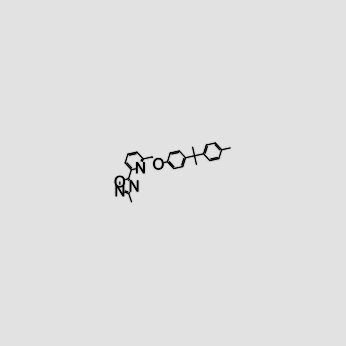 Cc1ccc(C(C)(C)c2ccc(OCc3cccc(-c4nc(C)no4)n3)cc2)cc1